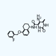 C=C1NC(=O)NC(C(=O)N[C@@H]2CCCc3c(OCc4ccccc4F)cccc32)=C1N